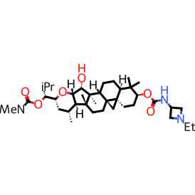 CCN1CC(NC(=O)O[C@H]2CC[C@]34C[C@]35CC[C@]3(C)[C@@H]6[C@H](O[C@@H]([C@H](OC(=O)NC)C(C)C)C[C@H]6C)[C@H](O)[C@@]3(C)[C@@H]5CC[C@H]4C2(C)C)C1